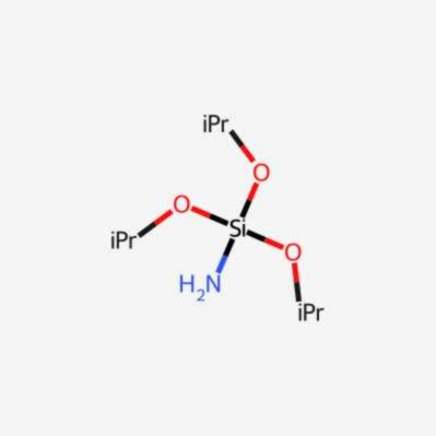 CC(C)O[Si](N)(OC(C)C)OC(C)C